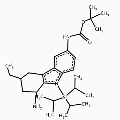 CCC1Cc2c(n([Si](C(C)C)(C(C)C)C(C)C)c3ccc(NC(=O)OC(C)(C)C)cc23)C(N)C1